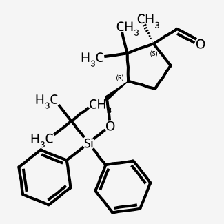 CC1(C)[C@H](CO[Si](c2ccccc2)(c2ccccc2)C(C)(C)C)CC[C@]1(C)C=O